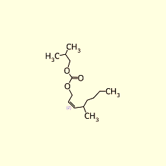 CCCCC(C)/C=C\COC(=O)OCC(C)C